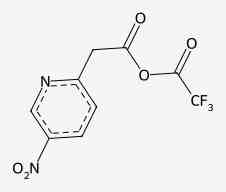 O=C(Cc1ccc([N+](=O)[O-])cn1)OC(=O)C(F)(F)F